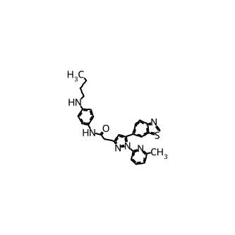 CCCCNc1ccc(NC(=O)Cc2cc(-c3ccc4ncsc4c3)n(-c3cccc(C)n3)n2)cc1